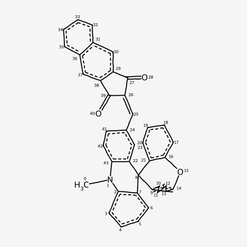 CN1c2ccccc2C2(c3ccccc3Oc3ccccc32)c2cc(C=C3C(=O)c4cc5ccccc5cc4C3=O)ccc21